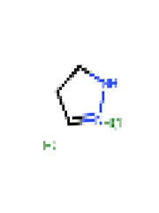 C1=NNCC1.Cl.Cl